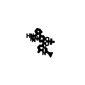 Cc1ccc(C(OC(=O)C(C)(C)C)c2ccc(-c3ccccc3-c3nnn[nH]3)cc2)n2cc(C3CC3)nc12